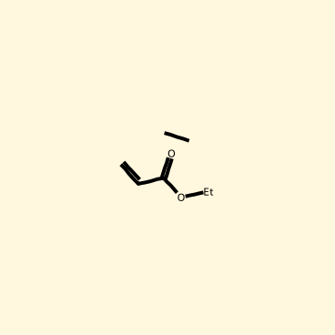 C=CC(=O)OCC.CC